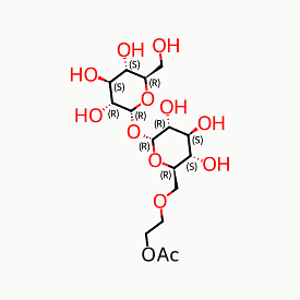 CC(=O)OCCOC[C@H]1O[C@H](O[C@H]2O[C@H](CO)[C@@H](O)[C@H](O)[C@H]2O)[C@H](O)[C@@H](O)[C@@H]1O